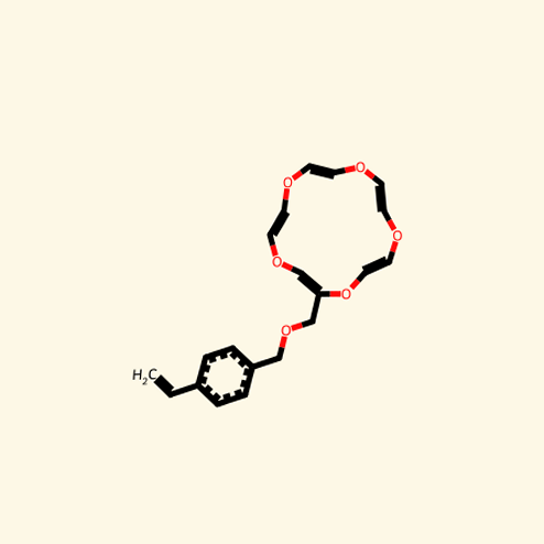 C=Cc1ccc(COC/C2=C\O/C=C/O/C=C/O/C=C/O/C=C/O2)cc1